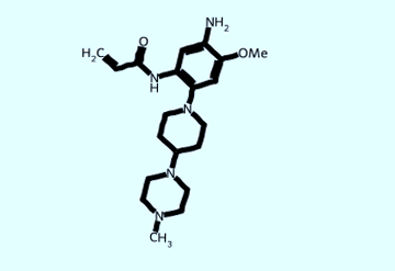 C=CC(=O)Nc1cc(N)c(OC)cc1N1CCC(N2CCN(C)CC2)CC1